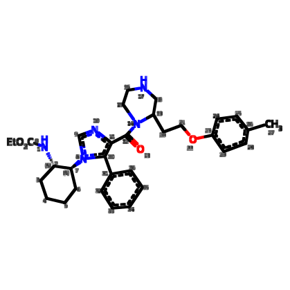 CCOC(=O)N[C@H]1CCCC[C@@H]1n1cnc(C(=O)N2CCNCC2CCOc2ccc(C)cc2)c1-c1ccccc1